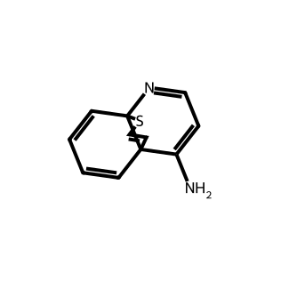 NC1=CC=NC23C=CC=CC12C=CS3